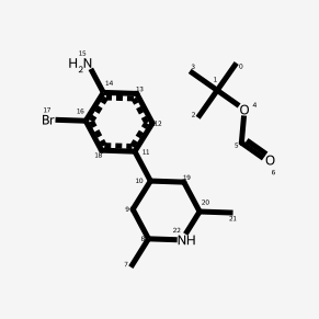 CC(C)(C)OC=O.CC1CC(c2ccc(N)c(Br)c2)CC(C)N1